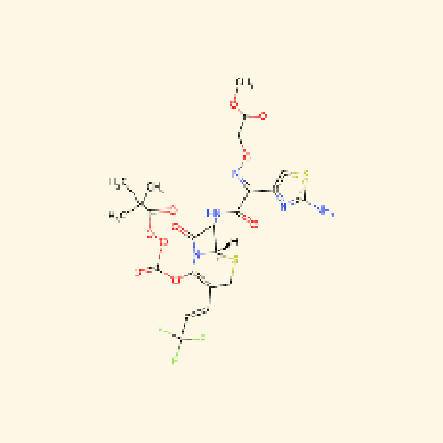 COC(=O)CON=C(C(=O)NC1C(=O)N2C(OC(=O)OOC(=O)C(C)(C)C)=C(C=CC(F)(F)F)CS[C@@H]12)c1csc(N)n1